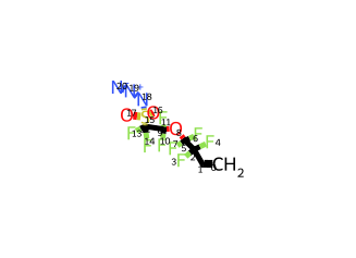 C=CC(F)(F)C(F)(F)OC(F)(F)C(F)(F)S(=O)(=O)N=[N+]=[N-]